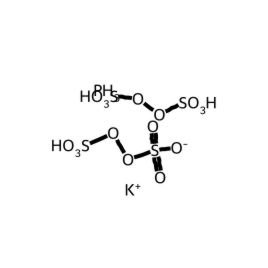 O=S(=O)(O)OOS(=O)(=O)O.O=S(=O)([O-])OOS(=O)(=O)O.P.[K+]